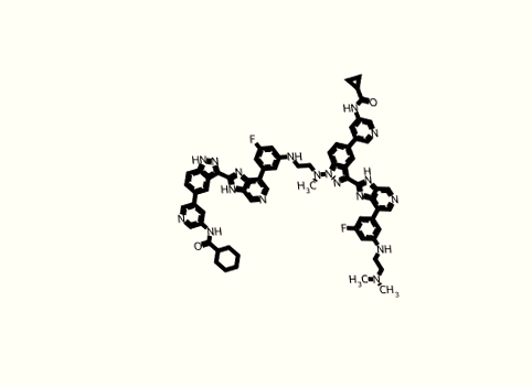 CN(C)CCNc1cc(F)cc(-c2cncc3[nH]c(-c4nn(N(C)CCNc5cc(F)cc(-c6cncc7[nH]c(-c8n[nH]c9ccc(-c%10cncc(NC(=O)C%11CCCCC%11)c%10)cc89)nc67)c5)c5ccc(-c6cncc(NC(=O)C7CC7)c6)cc45)nc23)c1